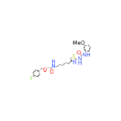 COc1cccc(NC(=O)Nc2nc(CCCCCNC(=O)COCc3ccc(F)cc3)cs2)c1